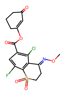 CON=C1CCS(=O)(=O)c2c(F)cc(C(=O)OC3=CC(=O)CCC3)c(Cl)c21